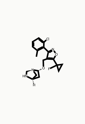 Cc1cccc(Cl)c1-c1noc(C2(F)CC2)c1CO[C@@H]1C[C@@H]2C[N@@]1CN2